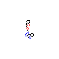 c1ccc2oc(COCCn3cnc4cnc5ccccc5c43)cc2c1